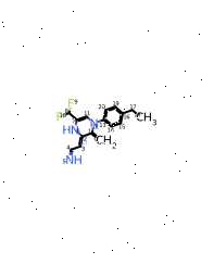 C=C1/C(=C/C=N)NC(C(F)F)=CN1c1ccc(CC)cc1